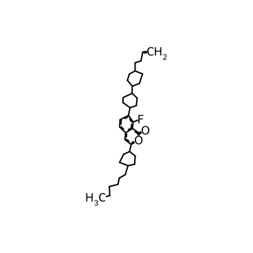 C=CCCC1CCC(C2CCC(c3ccc4cc(C5CCC(CCCCCC)CC5)oc(=O)c4c3F)CC2)CC1